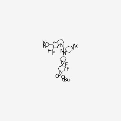 CC(=O)N1CCc2c(c(N3CCCc4cc(-c5cnn(C)c5)c(C(F)F)cc43)nn2C2CCN(C3=CCN(C(=O)OC(C)(C)C)CC3(F)F)CC2)C1